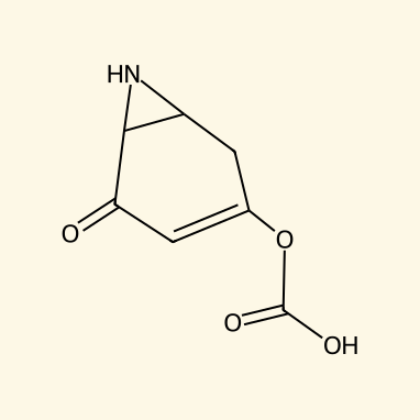 O=C(O)OC1=CC(=O)C2NC2C1